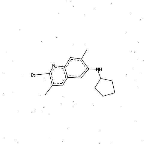 CCc1nc2cc(C)c(NC3CCCC3)cc2cc1C